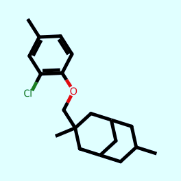 Cc1ccc(OCC2(C)CC3CC(C)CC(C3)C2)c(Cl)c1